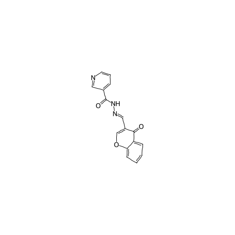 O=C(N/N=C/c1coc2ccccc2c1=O)c1cccnc1